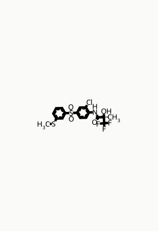 CSc1cccc(S(=O)(=O)c2ccc(NC(=O)[C@@](C)(O)C(F)(F)F)c(Cl)c2)c1